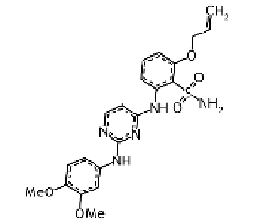 C=CCOc1cccc(Nc2ccnc(Nc3ccc(OC)c(OC)c3)n2)c1S(N)(=O)=O